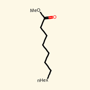 [CH2]OC(=O)CCCCCCCCCCCC